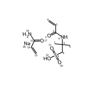 C=CC(=O)NC(C)(C)CS(=O)(=O)O.C=CC(N)=O.[Na]